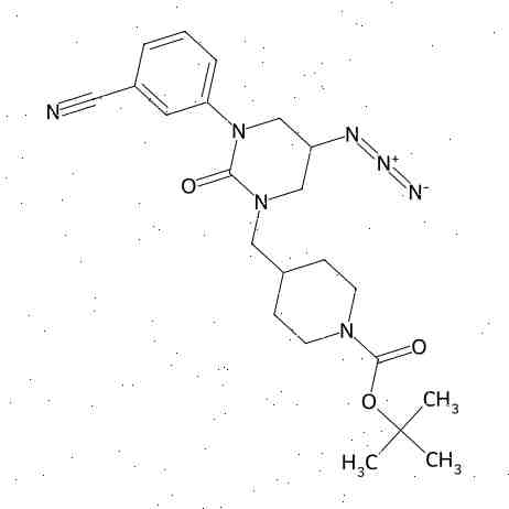 CC(C)(C)OC(=O)N1CCC(CN2CC(N=[N+]=[N-])CN(c3cccc(C#N)c3)C2=O)CC1